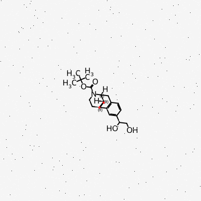 CC(C)(C)OC(=O)N1CC[C@]23CCCC[C@H]2[C@H]1Cc1ccc(C(O)CO)cc13